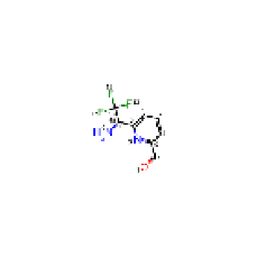 N[C@H](c1cccc(C=O)n1)C(F)(F)F